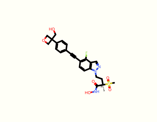 C[C@@](CCn1ncc2c(F)c(C#Cc3ccc(C4(CO)COC4)cc3)ccc21)(C(=O)NO)S(C)(=O)=O